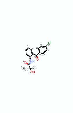 CC(O)(C(=O)Nc1ccccc1C(=O)c1ccc(Cl)cc1)C(F)(F)F